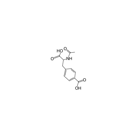 CC(=O)NC(Cc1ccc(C(=O)O)cc1)C(=O)O